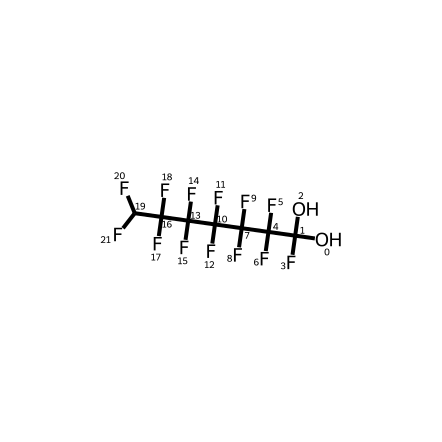 OC(O)(F)C(F)(F)C(F)(F)C(F)(F)C(F)(F)C(F)(F)C(F)F